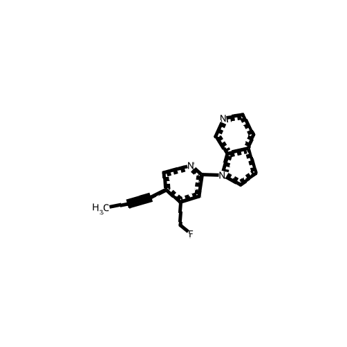 CC#Cc1cnc(-n2ccc3ccncc32)cc1CF